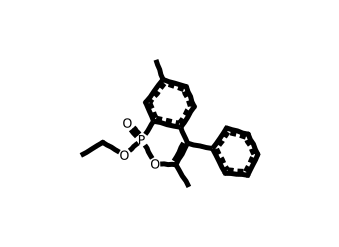 CCOP1(=O)OC(C)=C(c2ccccc2)c2ccc(C)cc21